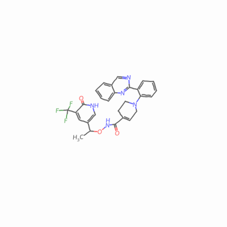 CC(ONC(=O)C1=CCN(c2ccccc2-c2ncc3ccccc3n2)CC1)c1c[nH]c(=O)c(C(F)(F)F)c1